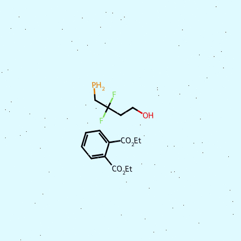 CCOC(=O)c1ccccc1C(=O)OCC.OCCC(F)(F)CP